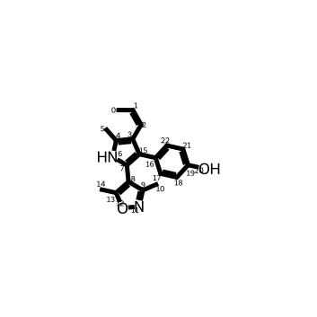 C/C=C\c1c(C)[nH]c(-c2c(C)noc2C)c1-c1ccc(O)cc1